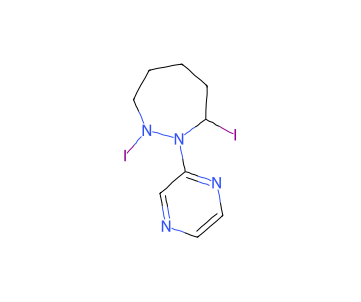 IC1CCCCN(I)N1c1cnccn1